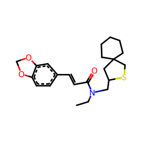 CCN(CC1CC2(CCCCC2)CS1)C(=O)/C=C/c1ccc2c(c1)OCO2